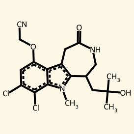 Cn1c2c(c3c(OCC#N)cc(Cl)c(Cl)c31)CC(=O)NCC2CC(C)(C)O